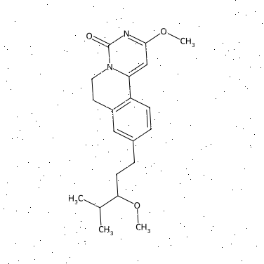 COc1cc2n(c(=O)n1)CCc1cc(CCC(OC)C(C)C)ccc1-2